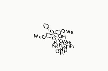 COc1ccc(C(OCc2ccccc2)(c2ccc(OC)cc2)C2OC(n3cnc4c(=O)[nH]c(NC(=O)C(C)C)nc43)C(OC)C2O)cc1